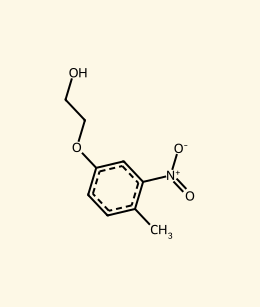 Cc1ccc(OCCO)cc1[N+](=O)[O-]